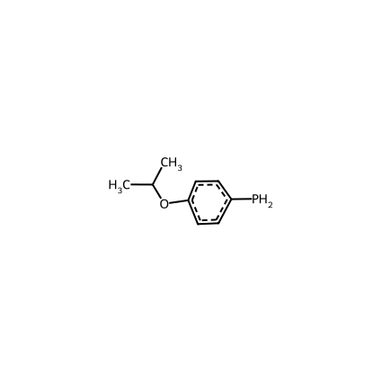 CC(C)Oc1ccc(P)cc1